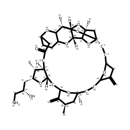 C=C1CC2CC[C@@]34C[C@@H]5O[C@H]6[C@@H](O3)C3OC(CCC3O[C@H]6C5O4)CC(=O)C[C@@H]3[C@@H](C)[C@@H](C[C@H](O)CN)O[C@H]3CC3O[C@@H](CCC1O2)C[C@@H](C)C3=C